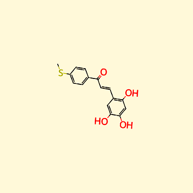 CSc1ccc(C(=O)C=Cc2cc(O)c(O)cc2O)cc1